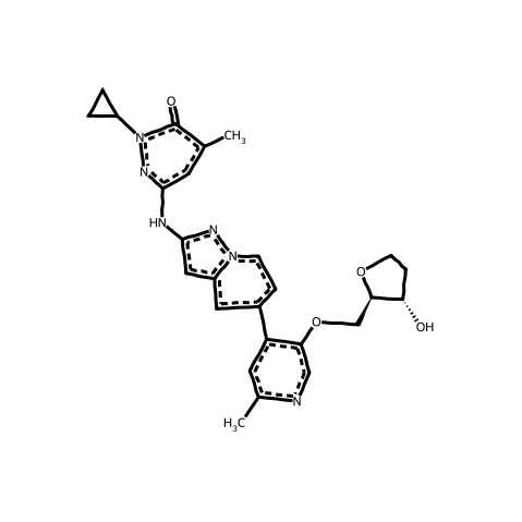 Cc1cc(-c2ccn3nc(Nc4cc(C)c(=O)n(C5CC5)n4)cc3c2)c(OC[C@H]2OCC[C@@H]2O)cn1